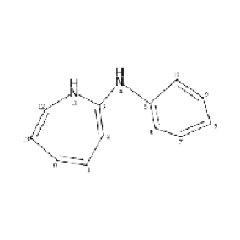 C1=CC=C(Nc2ccccc2)NC=C1